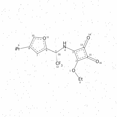 CCOc1c(N[C@@H](c2cc(C(C)C)co2)C(F)(F)F)c(=O)c1=O